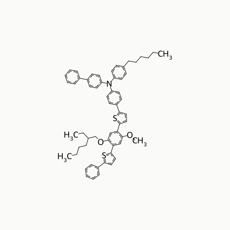 CCCCCCc1ccc(N(c2ccc(-c3ccccc3)cc2)c2ccc(-c3ccc(-c4cc(OCC(CC)CCCC)c(-c5ccc(-c6ccccc6)s5)cc4OC)s3)cc2)cc1